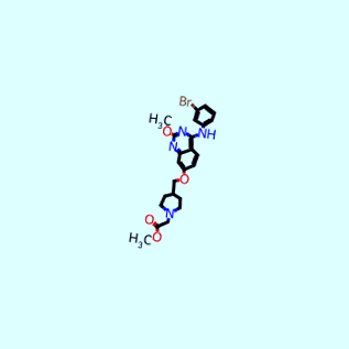 COC(=O)CN1CCC(COc2ccc3c(Nc4cccc(Br)c4)nc(OC)nc3c2)CC1